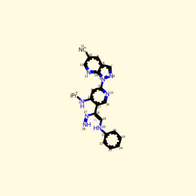 CC(C)Nc1cc(-n2ncc3cc(C#N)cnc32)ncc1/C(=C/Nc1ccccc1)N=N